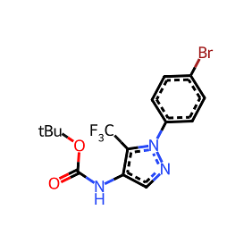 CC(C)(C)OC(=O)Nc1cnn(-c2ccc(Br)cc2)c1C(F)(F)F